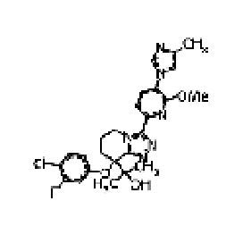 COc1nc(-c2nnc3n2CCCC3(Oc2ccc(Cl)c(F)c2)C(C)(C)O)ccc1-n1cnc(C)c1